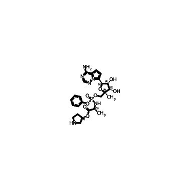 C[C@H](NP(=O)(OC[C@@]1(C)O[C@@H](c2ccc3c(N)ncnn23)[C@H](O)[C@@H]1O)Oc1ccccc1)C(=O)O[C@@H]1CCNC1